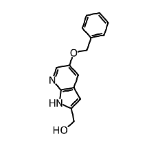 OCc1cc2cc(OCc3ccccc3)cnc2[nH]1